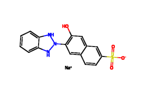 O=S(=O)([O-])c1ccc2cc(N3Nc4ccccc4N3)c(O)cc2c1.[Na+]